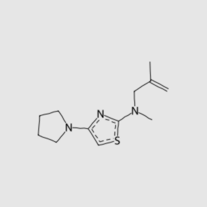 C=C(C)CN(C)c1nc(N2CCCC2)cs1